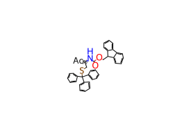 CC(=O)[C@H](CSC(c1ccccc1)(c1ccccc1)c1ccccc1)NC(=O)OCC1c2ccccc2-c2ccccc21